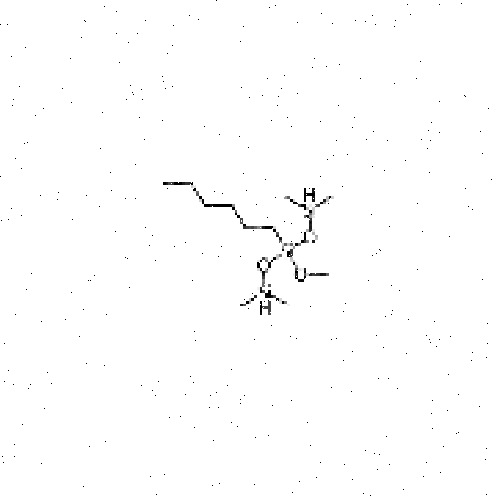 CCCCCC[Si](OC)(O[SiH](C)C)O[SiH](C)C